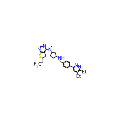 CCc1cc(-c2ccc(CNC3CCC(N(C)c4ncnc5c4CC(CC(F)(F)F)S5)C3)cc2)nnc1CC